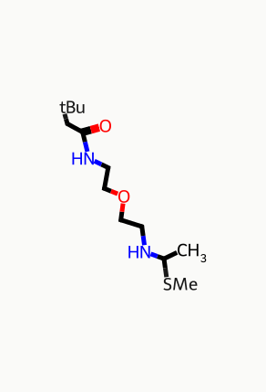 CSC(C)NCCOCCNC(=O)CC(C)(C)C